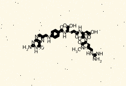 CNC(=O)[C@H](CCCNC(=N)N)NC(=O)[C@H](CC(=O)O)NC(=O)CC[C@H](NC(=O)c1ccc(NCc2cnc3nc(N)[nH]c(=O)c3n2)cc1)C(=O)O